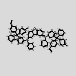 C=Cc1ccc(C2(c3ccc(F)cc3)c3ccccc3-c3ccc(N(C4=CC5c6cc(N(C7C=CC=CC7)C7C=CC8=C(C7)C(C7=CCC(C=C)C=C7)(c7ccc(F)cc7)C7C=CC=CC87)ccc6OC5C=C4)C4=CC=CCC4)cc32)cc1